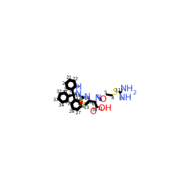 N=C(N)SCCON=C(C(=O)O)c1csc(NC(c2ccccc2)(c2ccccc2)c2ccccc2)n1